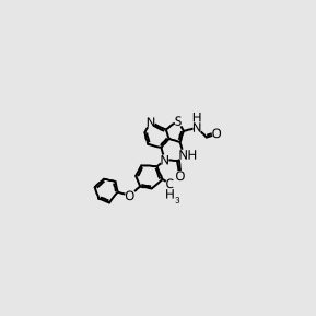 Cc1cc(Oc2ccccc2)ccc1N1C(=O)Nc2c(NC=O)sc3nccc1c23